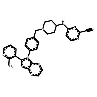 N#Cc1nccc(NC2CCN(Cc3ccc(-n4c(-c5cccnc5N)nc5nccnc54)cc3)CC2)n1